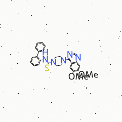 COc1cc2ncnc(N3CCN(C(=S)Nc4ccccc4-c4ccccc4)CC3)c2cc1OC